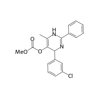 COC(=O)OC1=C(C)NC(c2ccccc2)=NC1c1cccc(Cl)c1